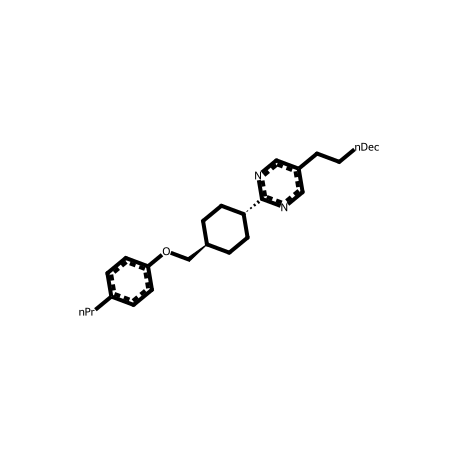 CCCCCCCCCCCCc1cnc([C@H]2CC[C@H](COc3ccc(CCC)cc3)CC2)nc1